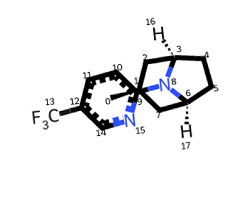 C[C@H]1C[C@H]2CC[C@@H](C1)N2c1ccc(C(F)(F)F)cn1